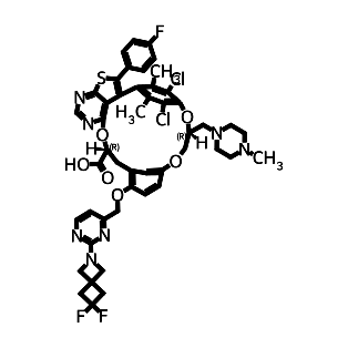 Cc1c(Cl)c2c(Cl)c(C)c1-c1c(-c3ccc(F)cc3)sc3ncnc(c13)O[C@@H](C(=O)O)Cc1cc(ccc1OCc1ccnc(N3CC4(C3)CC(F)(F)C4)n1)OC[C@@H](CN1CCN(C)CC1)O2